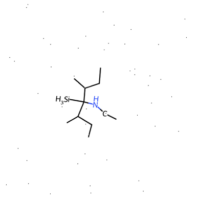 CCNC([SiH3])(C(C)CC)C(C)CC